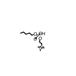 CCCCCOP(=O)(O)OCC[N+](C)(C)C